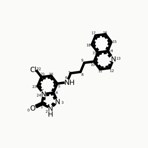 O=c1[nH]nc2c(NCCCc3ccnc4ccccc34)cc(Cl)cn12